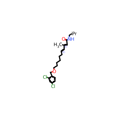 CC(/C=C/CCCCCCOCc1ccc(Cl)cc1Cl)=C\C(=O)NCC(C)C